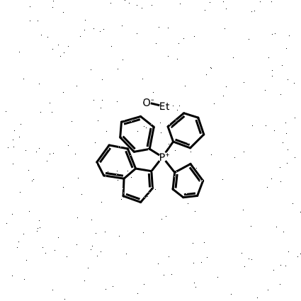 CC[O-].c1ccc([P+](c2ccccc2)(c2ccccc2)c2cccc3ccccc23)cc1